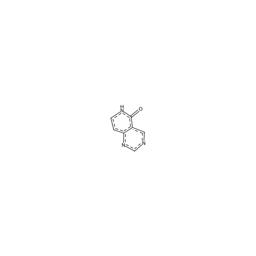 O=c1[nH]ccc2ncncc12